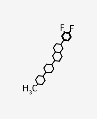 CC1CCC(C2CCC(C3CCC4CC(c5ccc(F)c(F)c5)CCC4C3)CC2)CC1